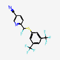 N#Cc1ccc(C(F)Sc2cc(C(F)(F)F)cc(C(F)(F)F)c2)nc1